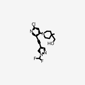 CC1(CO)CCN(c2cc(Cl)ncc2C#Cc2cnn(C(F)F)c2)CC1